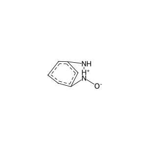 [O-][NH+]1Nc2cccc1c2